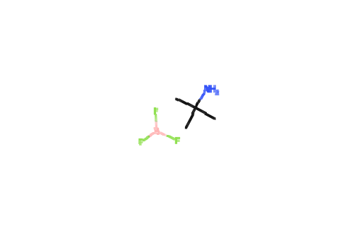 CC(C)(C)N.FB(F)F